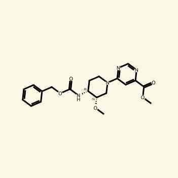 COC(=O)c1cc(N2CC[C@@H](NC(=O)OCc3ccccc3)[C@@H](OC)C2)ncn1